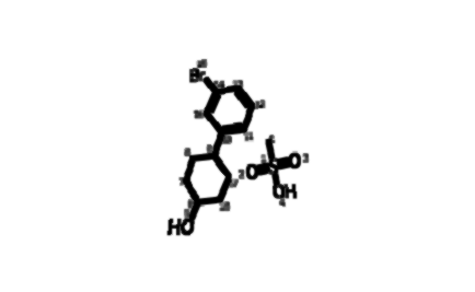 CS(=O)(=O)O.OC1CCC(c2cccc(Br)c2)CC1